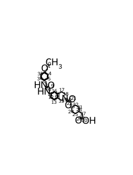 CCOc1ccc(NC(=O)Nc2ccc3c(c2)CCN(C(=O)OC2CCC(CC(=O)O)CC2)C3)cc1